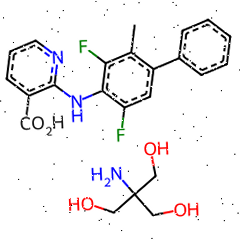 Cc1c(-c2ccccc2)cc(F)c(Nc2ncccc2C(=O)O)c1F.NC(CO)(CO)CO